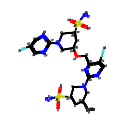 CO[C@H]1C[C@H](S(N)(=O)=O)CN(c2ncc(F)c(CO[C@@H]3C[C@@H](S(N)(=O)=O)CN(c4ncc(F)cn4)C3)n2)C1